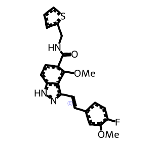 COc1cc(/C=C/c2n[nH]c3ccc(C(=O)NCc4cccs4)c(OC)c23)ccc1F